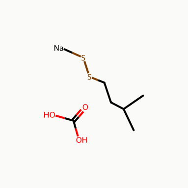 CC(C)CCS[S][Na].O=C(O)O